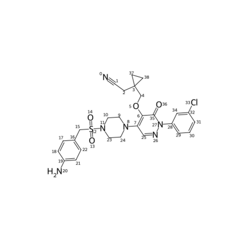 N#CCC1(COc2c(N3CCN(S(=O)(=O)Cc4ccc(N)cc4)CC3)cnn(-c3cccc(Cl)c3)c2=O)CC1